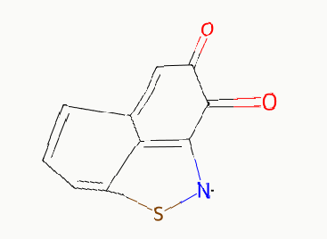 O=C1C=c2cccc3c2=C([N]S3)C1=O